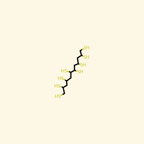 SCC(S)CC(S)CC(S)C(S)CC(S)CC(S)CS